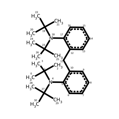 CC(C)(C)N(c1ccccc1Cc1ccccc1N(C(C)(C)C)C(C)(C)C)C(C)(C)C